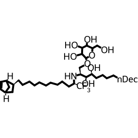 CCCCCCCCCCCCCC[C@@H](O)[C@@H](O)[C@H](COC1OC(CO)C(O)C(O)C1O)N[C@@H](CCCCCCCCCC[C@H]1C[C@H]2C=C[C@@H]1C2)C(F)(F)F